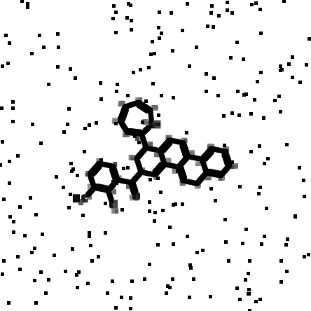 Cc1cccc(C(=O)C2C=c3c(ccc4c3=CCc3ccccc3-4)C(C3=CC=CC=CN3)C2)c1Cl